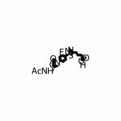 CC(=O)NC[C@H]1CN(c2ccc(-c3nnc(CCC[SH](=O)=O)s3)c(F)c2)C(=O)O1